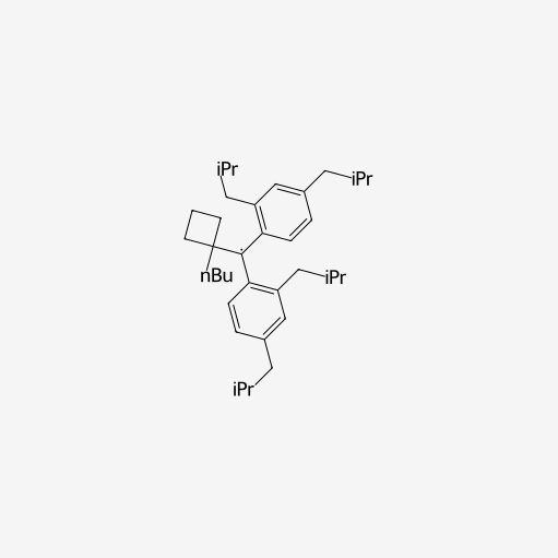 CCCCC1([C](c2ccc(CC(C)C)cc2CC(C)C)c2ccc(CC(C)C)cc2CC(C)C)CCC1